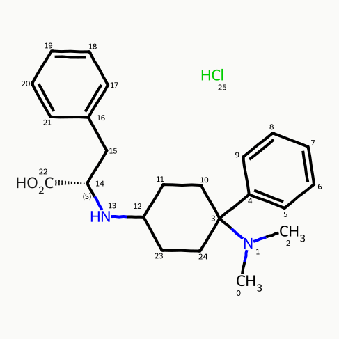 CN(C)C1(c2ccccc2)CCC(N[C@@H](Cc2ccccc2)C(=O)O)CC1.Cl